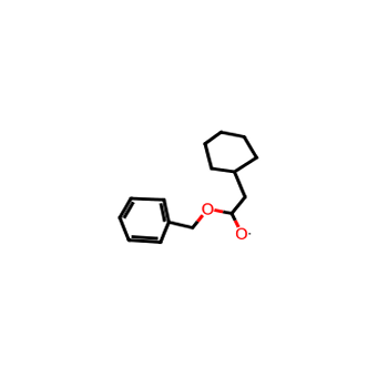 [O]C(CC1CCCCC1)OCc1ccccc1